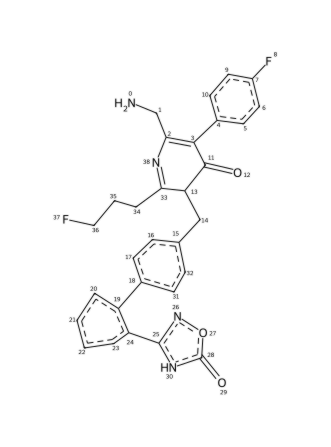 NCC1=C(c2ccc(F)cc2)C(=O)C(Cc2ccc(-c3ccccc3-c3noc(=O)[nH]3)cc2)C(CCCF)=N1